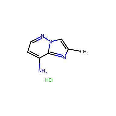 Cc1cn2nccc(N)c2n1.Cl